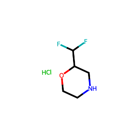 Cl.FC(F)C1CNCCO1